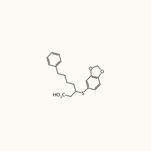 O=C(O)CC(CCCCc1ccccc1)Sc1ccc2c(c1)OCO2